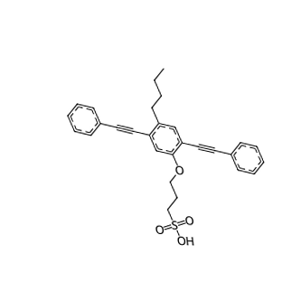 CCCCc1cc(C#Cc2ccccc2)c(OCCCS(=O)(=O)O)cc1C#Cc1ccccc1